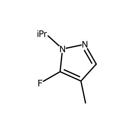 Cc1cnn(C(C)C)c1F